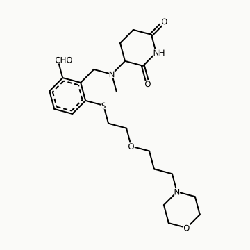 CN(Cc1c(C=O)cccc1SCCOCCCN1CCOCC1)C1CCC(=O)NC1=O